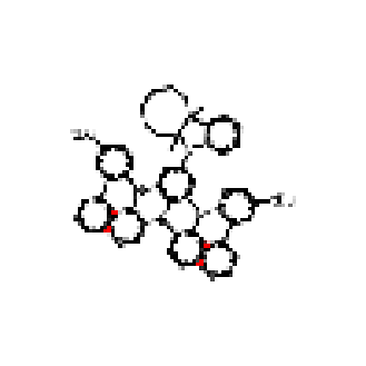 CC(C)(C)c1ccc(N2c3ccccc3B3c4ccccc4N(c4ccc(C(C)(C)C)cc4-c4ccccc4)c4cc(N5c6ccccc6C6(C)CCCCCCC56C)cc2c43)c(-c2ccccc2)c1